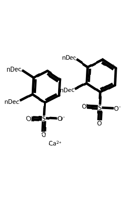 CCCCCCCCCCc1cccc(S(=O)(=O)[O-])c1CCCCCCCCCC.CCCCCCCCCCc1cccc(S(=O)(=O)[O-])c1CCCCCCCCCC.[Ca+2]